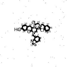 CN1C2CN(CC3=CC=CC4SC=NC34)C(=O)C(Cc3ccc(O)cc3)N2C(=O)CN1Cc1ccccc1